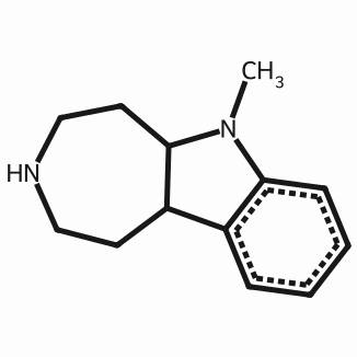 CN1c2ccccc2C2CCNCCC21